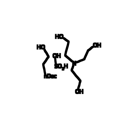 CCCCCCCCCCCCO.O=S(=O)(O)O.OCCN(CCO)CCO